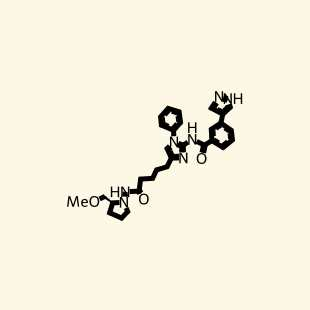 COC[C@@H]1CCCN1NC(=O)CCCCc1cn(-c2ccccc2)c(NC(=O)c2cccc(-c3cn[nH]c3)c2)n1